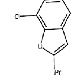 CC(C)c1cc2cccc(Cl)c2o1